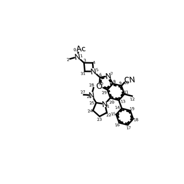 CC(=O)N(C)C1CN(c2nc3c(C#N)c(C)c(-c4ccccc4)c(N4CCCC4N(C)C)c3o2)C1